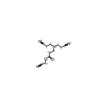 N#CCCN(CCC#N)CCC(=O)OCC#N